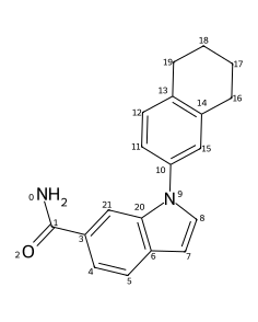 NC(=O)c1ccc2ccn(-c3ccc4c(c3)CCCC4)c2c1